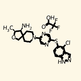 C[C@@H]1OCC2(CCN(c3cnc(Sc4ccc5[nH]ncc5c4Cl)cn3)CC2)[C@@H]1N.O=C(O)C(F)(F)F